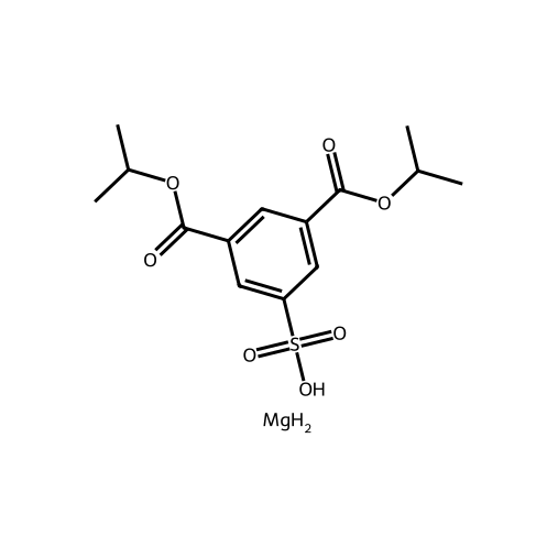 CC(C)OC(=O)c1cc(C(=O)OC(C)C)cc(S(=O)(=O)O)c1.[MgH2]